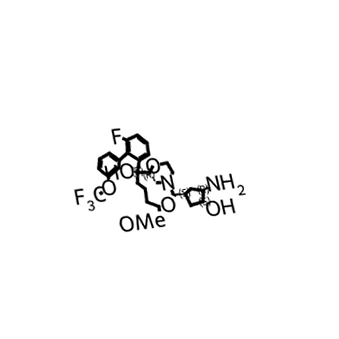 COCCCC[C@@](O)(c1cccc(F)c1-c1cccc(OC(F)(F)F)c1)[C@H]1CN(C(=O)[C@H]2C[C@@H](N)[C@@H](O)C2)CCO1